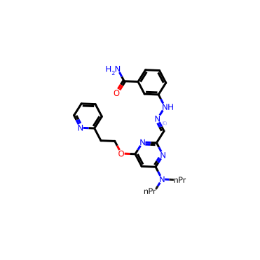 CCCN(CCC)c1cc(OCCc2ccccn2)nc(/C=N/Nc2cccc(C(N)=O)c2)n1